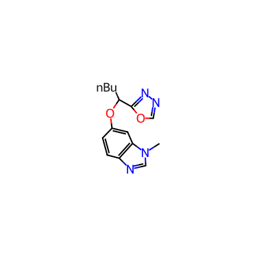 CCCCC(Oc1ccc2ncn(C)c2c1)c1nnco1